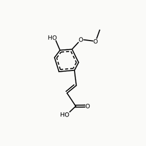 COOc1cc(C=CC(=O)O)ccc1O